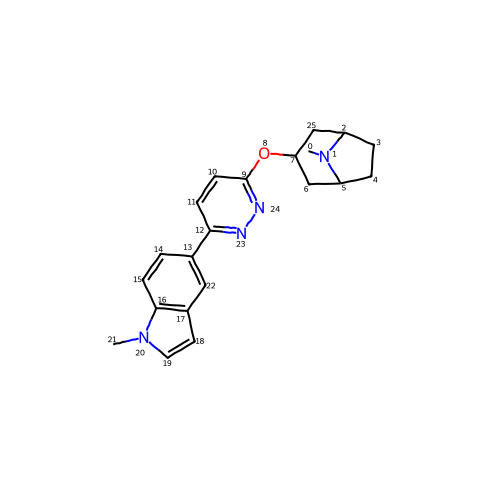 CN1C2CCC1CC(Oc1ccc(-c3ccc4c(ccn4C)c3)nn1)C2